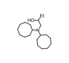 CCC(O)CN(C1CCCCCCC1)C1CCCCCCC1